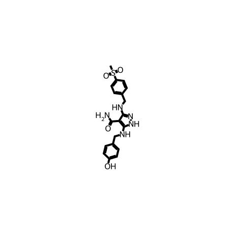 CS(=O)(=O)c1ccc(CNc2n[nH]c(NCc3ccc(O)cc3)c2C(N)=O)cc1